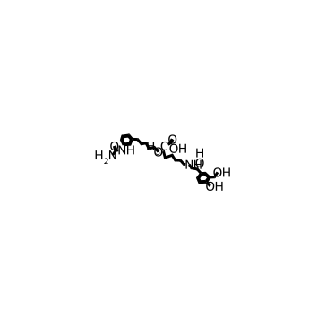 CC(=O)O.NC(=O)Nc1cccc(CCCCCOCCCCCCNC[C@H](O)c2ccc(O)c(CO)c2)c1